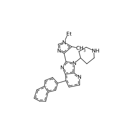 CCn1cnc(-c2nc3c(-c4ccc5ccccc5c4)ccnc3n2C2CCNCC2)c1C